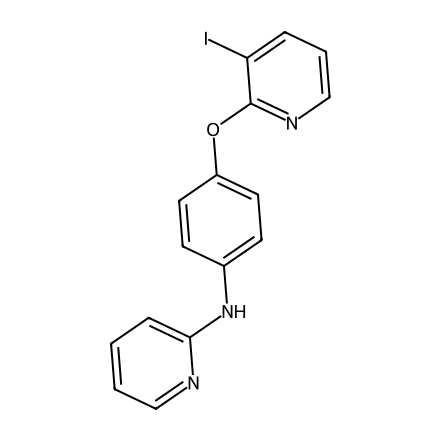 Ic1cccnc1Oc1ccc(Nc2ccccn2)cc1